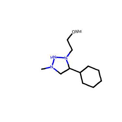 COCCN1NN(C)CC1C1CCCCC1